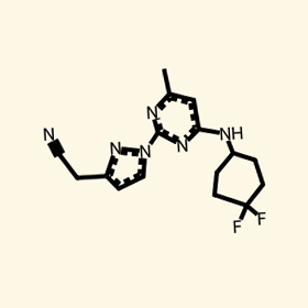 Cc1cc(NC2CCC(F)(F)CC2)nc(-n2ccc(CC#N)n2)n1